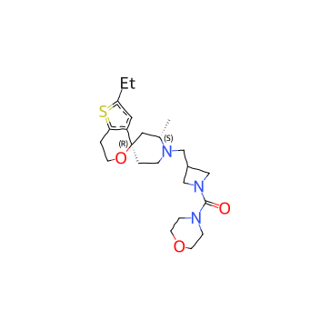 CCc1cc2c(s1)CCO[C@@]21CCN(CC2CN(C(=O)N3CCOCC3)C2)[C@@H](C)C1